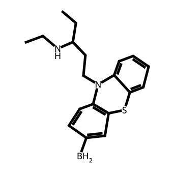 Bc1ccc2c(c1)Sc1ccccc1N2CCC(CC)NCC